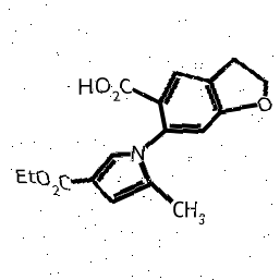 CCOC(=O)c1cc(C)n(-c2cc3c(cc2C(=O)O)CCO3)c1